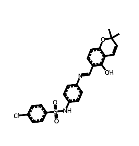 CC1(C)C=Cc2c(ccc(C=Nc3ccc(NS(=O)(=O)c4ccc(Cl)cc4)cc3)c2O)O1